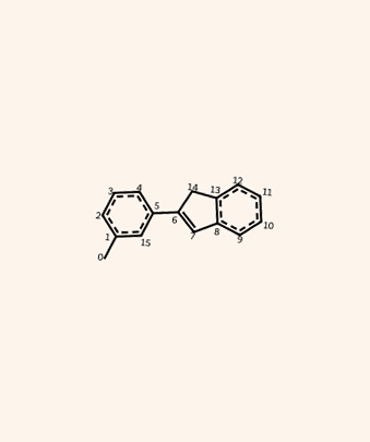 Cc1cccc(C2=Cc3ccccc3C2)c1